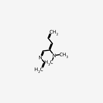 C=C/C=C(\C=N/C=C)N(C)C